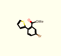 COC(=O)c1cc(Br)ccc1-c1cccs1